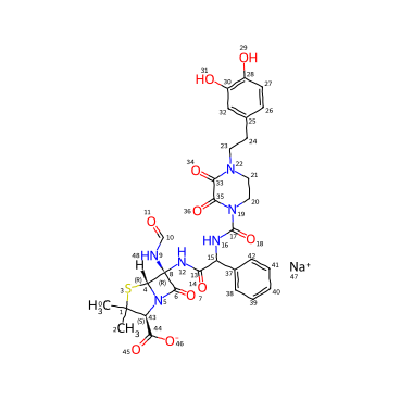 CC1(C)S[C@H]2N(C(=O)[C@@]2(NC=O)NC(=O)C(NC(=O)N2CCN(CCc3ccc(O)c(O)c3)C(=O)C2=O)c2ccccc2)[C@H]1C(=O)[O-].[Na+]